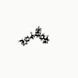 C=CC(=O)N1CCN([C@@H]2CN(c3cc(N4CCC(c5c(C)cnn5C)CC4)nc(C(F)(F)F)n3)[C@@H]2C)C[C@H]1CF